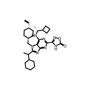 C=C[C@H]1CC[C@H](Cn2c(C(C)C3CCCCC3)nc3nc(-c4noc(=O)[nH]4)nc(N[C@H](C)C4CCC4)c32)CC1